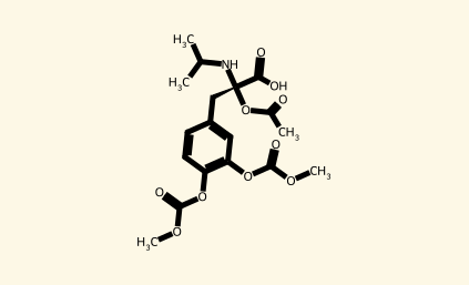 COC(=O)Oc1ccc(C[C@](NC(C)C)(OC(C)=O)C(=O)O)cc1OC(=O)OC